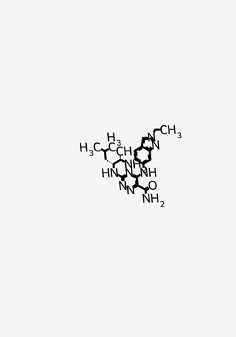 CCn1cc2ccc(Nc3nc(N[C@H](CC(C)C)[C@H](C)N)nnc3C(N)=O)cc2n1